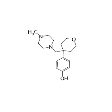 CN1CCN(CC2(c3ccc(O)cc3)CCOCC2)CC1